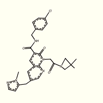 Cn1nccc1Cc1cnc2c(c1)cc(C(=O)NCc1ccc(Cl)cc1)c(=O)n2CC(=O)N1CC(C)(C)C1